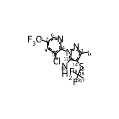 Cc1nn(-c2ncc(C(F)(F)F)cc2Cl)c(N)c1SC(C)(F)F